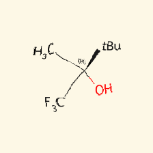 CC(C)(C)[C@@](C)(O)C(F)(F)F